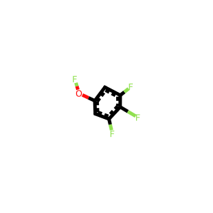 FOc1cc(F)c(F)c(F)c1